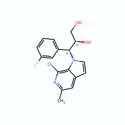 Cc1cc2ccn([C@@H](c3cccc(F)c3)[C@H](O)CO)c2c(Cl)n1